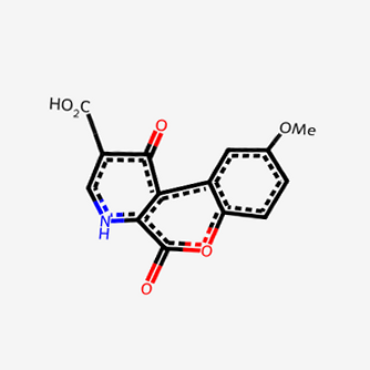 COc1ccc2oc(=O)c3[nH]cc(C(=O)O)c(=O)c3c2c1